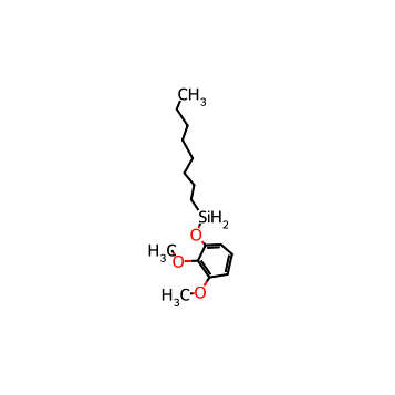 CCCCCCCC[SiH2]Oc1cccc(OC)c1OC